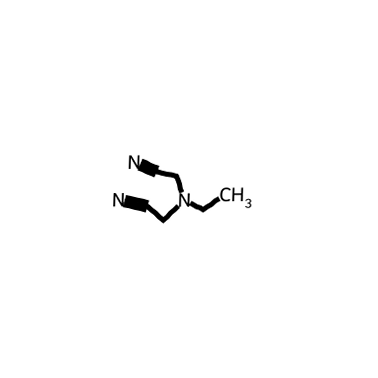 CCN(CC#N)CC#N